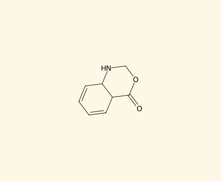 O=C1OCNC2C=CC=CC12